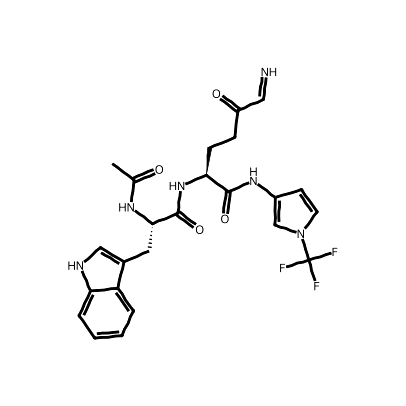 CC(=O)N[C@@H](Cc1c[nH]c2ccccc12)C(=O)N[C@@H](CCC(=O)C=N)C(=O)Nc1ccn(C(F)(F)F)c1